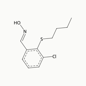 CCCCSc1c(Cl)cccc1C=NO